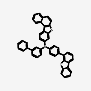 c1ccc(-c2cccc(N(c3ccc(-c4cccc5c4sc4ccccc45)cc3)c3ccc4c(c3)sc3ccc5ccccc5c34)c2)cc1